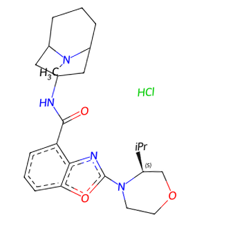 CC(C)[C@H]1COCCN1c1nc2c(C(=O)NC3CC4CCCC(C3)N4C)cccc2o1.Cl